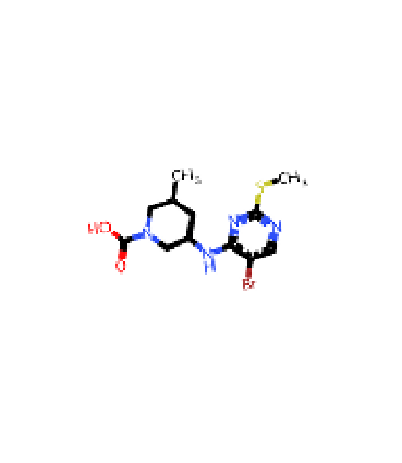 CSc1ncc(Br)c(NC2CC(C)CN(C(=O)O)C2)n1